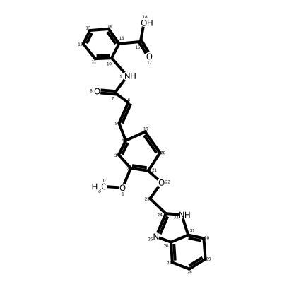 COc1cc(/C=C/C(=O)Nc2ccccc2C(=O)O)ccc1OCc1nc2ccccc2[nH]1